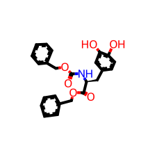 O=C(N[C@@H](Cc1ccc(O)c(O)c1)C(=O)OCc1ccccc1)OCc1ccccc1